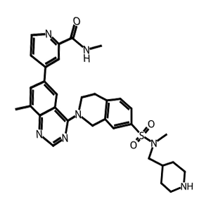 CNC(=O)c1cc(-c2cc(C)c3ncnc(N4CCc5ccc(S(=O)(=O)N(C)CC6CCNCC6)cc5C4)c3c2)ccn1